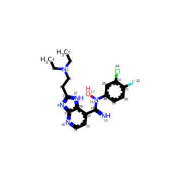 CCN(CC)CCc1nc2nccc(C(=N)N(O)c3ccc(F)c(Cl)c3)c2[nH]1